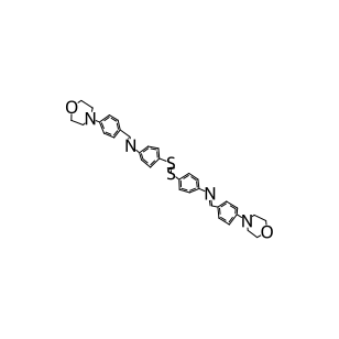 C(=Nc1ccc(SSc2ccc(N=Cc3ccc(N4CCOCC4)cc3)cc2)cc1)c1ccc(N2CCOCC2)cc1